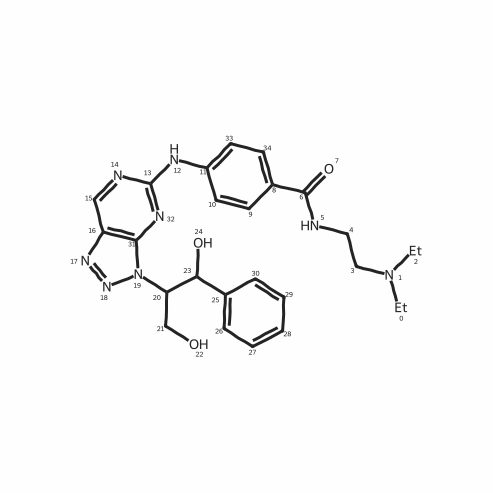 CCN(CC)CCNC(=O)c1ccc(Nc2ncc3nnn(C(CO)C(O)c4ccccc4)c3n2)cc1